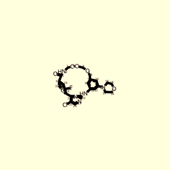 O=C1NCCCCOCc2cc(cc(N3CCOCC3)c2)Nc2ncc(Cl)c(n2)-c2ccc1cc2F